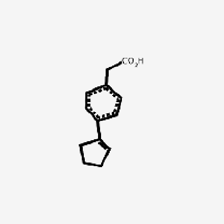 O=C(O)Cc1ccc(C2=CCCC2)cc1